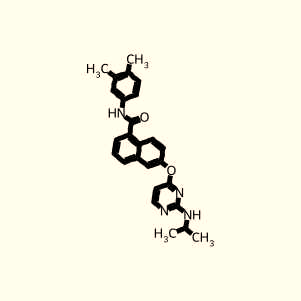 Cc1ccc(NC(=O)c2cccc3cc(Oc4ccnc(NC(C)C)n4)ccc23)cc1C